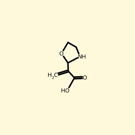 C=C(C(=O)O)C1NCCO1